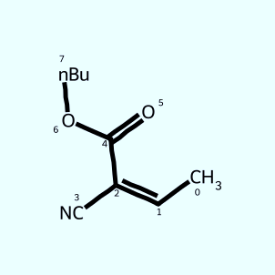 CC=C(C#N)C(=O)OCCCC